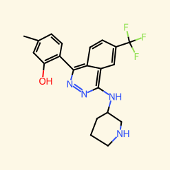 Cc1ccc(-c2nnc(NC3CCCNC3)c3cc(C(F)(F)F)ccc23)c(O)c1